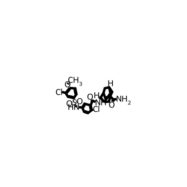 COc1ccc(S(=O)(=O)Nc2ccc(Cl)c(C(=O)N[C@H]3C4CC5(C(N)=O)CC3C[C@@H](C4)C5)c2)cc1Cl